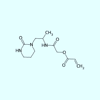 C=CC(=O)OCC(=O)NC(C)CN1CCCNC1=O